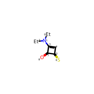 CCN(CC)c1cc(=S)c1=O